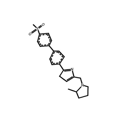 CC1CCCN1CC1=CCC(c2ccc(-c3ccc(S(C)(=O)=O)cc3)cc2)=N1